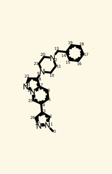 Cn1cc(-c2ccc3c(N4CCN(Cc5ccccc5)CC4)cnn3c2)cn1